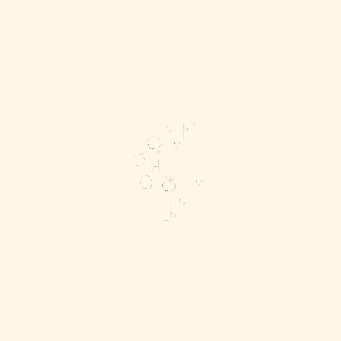 COc1nc(-c2cccc(-c3cccc(-c4cc5c(cn4)C(OC)CN(CC4CCC(=O)N4)C5)c3Cl)c2Cl)cc2c1[C@@H](NC[C@@H]1CCC(=O)N1)CC2